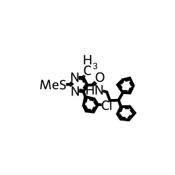 CSc1nc(C)c(C(=O)NCCC(c2ccccc2)c2ccccc2)c(-c2cccc(Cl)c2)n1